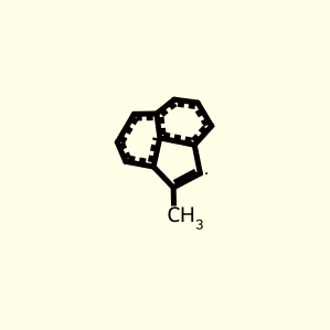 CC1=[C]c2cccc3cccc1c23